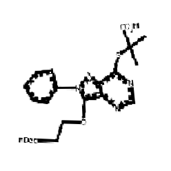 CCCCCCCCCCCCOc1c2ncnc(SC(C)(C)C(=O)OCC)c2nn1-c1ccccc1